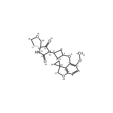 COc1ccc2c(c1OC1CC(N3C(=O)N[C@]4(CCOC4)C3=O)C1)C1(CC1)CO2